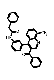 O=C(Cc1ccccc1)Nc1cccc(-c2c(C(=O)c3ccccc3)cnc3c(C(F)(F)F)cccc23)c1